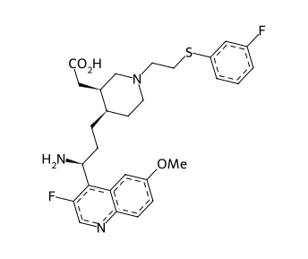 COc1ccc2ncc(F)c([C@@H](N)CC[C@@H]3CCN(CCSc4cccc(F)c4)C[C@@H]3CC(=O)O)c2c1